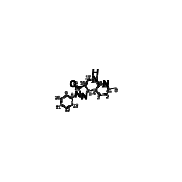 Cc1ccc2c3nn(-c4ccccc4)c(=O)c-3c[nH]c2n1